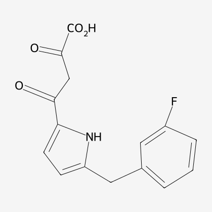 O=C(O)C(=O)CC(=O)c1ccc(Cc2cccc(F)c2)[nH]1